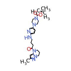 Cc1cc2n(n1)CCCN2C(=O)CCCNc1ccc(N2CCN(C(=O)OC(C)(C)C)CC2)cn1